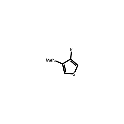 CNc1csc[c]1[K]